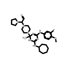 COc1ccc(NC2=NC(N)(N3CCN(C(C=O)N4CCCC4)CC3)NC(NC3CCCCCC3)=N2)cc1F